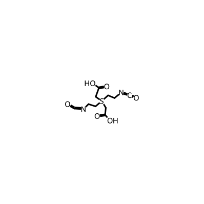 O=C=NCCS(CCN=C=O)(CC(=O)O)CC(=O)O